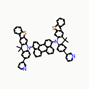 CC1(C)c2cc(-c3cccnc3)ccc2N(c2ccc3c4ccc(N5c6ccc(-c7cccnc7)cc6C(C)(C)c6cc7c(cc65)sc5ccccc57)c5cccc(c6cccc2c63)c54)c2cc3sc4ccccc4c3cc21